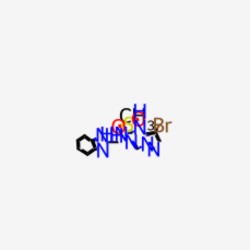 CS(=O)(=O)C1(NCc2nc3ccccc3[nH]2)N=Cn2ncc(Br)c2N1